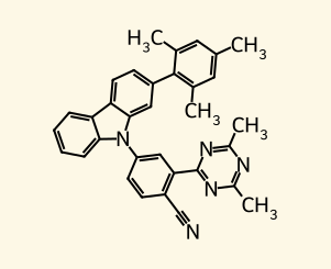 Cc1cc(C)c(-c2ccc3c4ccccc4n(-c4ccc(C#N)c(-c5nc(C)nc(C)n5)c4)c3c2)c(C)c1